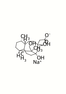 C[C@H]1CC[C@H]2C(C)(CO)C3(O)CC[C@]2(C)[C@H]1CC[C@](CO)(CC(=O)[O-])O3.[Na+]